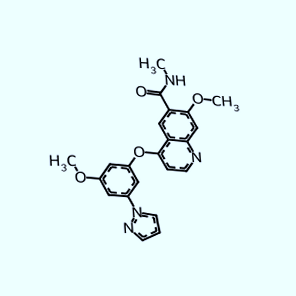 CNC(=O)c1cc2c(Oc3cc(OC)cc(-n4cccn4)c3)ccnc2cc1OC